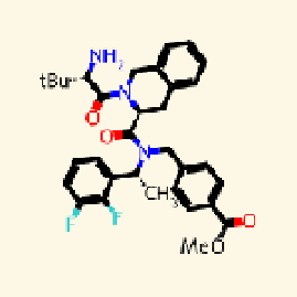 COC(=O)c1ccc(CN(C(=O)[C@@H]2Cc3ccccc3CN2C(=O)[C@@H](N)C(C)(C)C)[C@H](C)c2cccc(F)c2F)cc1